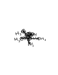 CCCCCCCCOc1c(CCCCC)c(CCCCC)c(CCCCC)c(O)c1OC(=O)O